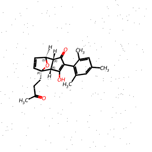 CC(=O)CC[C@]12C=C[C@H](O1)[C@@H]1C(=O)C(c3c(C)cc(C)cc3C)=C(O)[C@@H]12